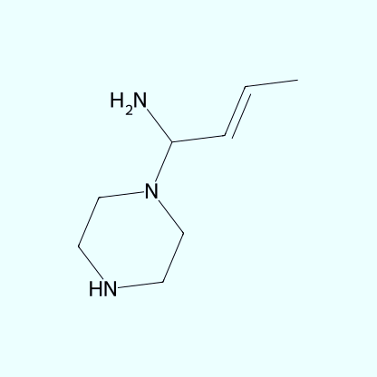 CC=CC(N)N1CCNCC1